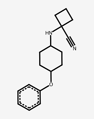 N#CC1(NC2CCC(Oc3ccccc3)CC2)CCC1